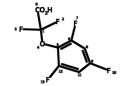 O=C(O)C(F)(F)Oc1c(F)cc(F)cc1F